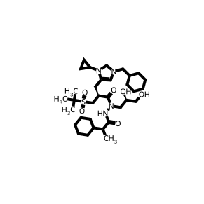 CC(C(=O)NN(C[C@@H](O)CO)C(=O)[C@H](CC1=CN(CC2CCCCC2)CN1C1CC1)CS(=O)(=O)C(C)(C)C)C1CCCCC1